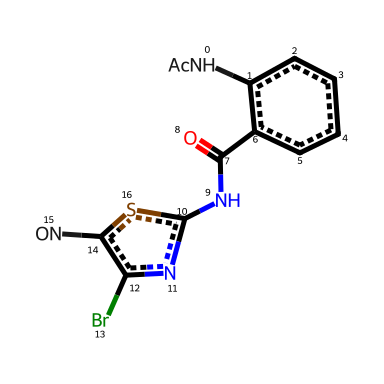 CC(=O)Nc1ccccc1C(=O)Nc1nc(Br)c(N=O)s1